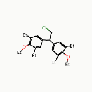 CCOc1c(CC)cc(C(CCl)c2cc(CC)c(OCC)c(CC)c2)cc1CC